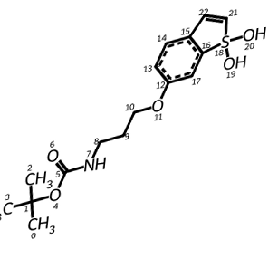 CC(C)(C)OC(=O)NCCCOc1ccc2c(c1)S(O)(O)C=C2